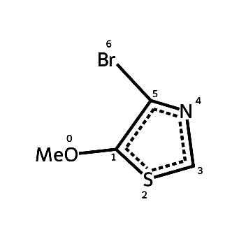 COc1scnc1Br